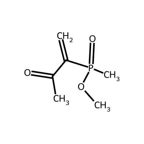 C=C(C(C)=O)P(C)(=O)OC